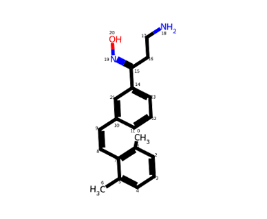 Cc1cccc(C)c1/C=C\c1cccc(C(CCN)=NO)c1